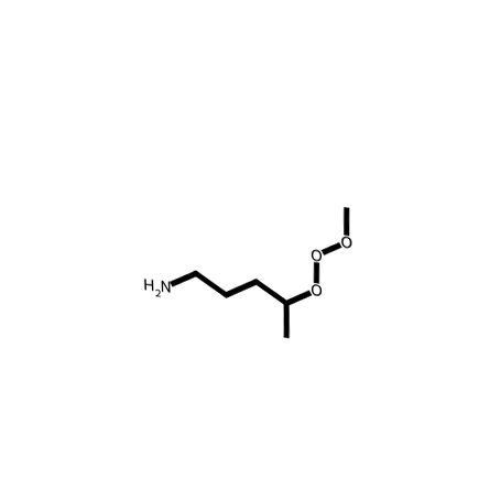 COOOC(C)CCCN